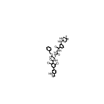 O=C(CNC(=O)c1cccc(NC2=NCC(F)(F)CN2)c1)NC[C@H](NC(=O)c1c(Cl)cc(-c2ccc3cn[nH]c3c2)cc1Cl)C(=O)OCc1ccccc1